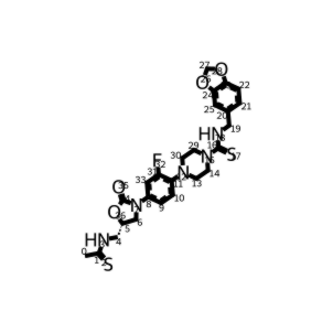 CC(=S)NC[C@H]1CN(c2ccc(N3CCN(C(=S)NCc4ccc5c(c4)OCO5)CC3)c(F)c2)C(=O)O1